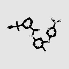 Cc1ccc(NC(=O)c2cccc(C(C)(C)C#N)c2)cc1Oc1ccc([N+](=O)[O-])nc1